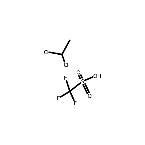 CC(Cl)Cl.O=S(=O)(O)C(F)(F)F